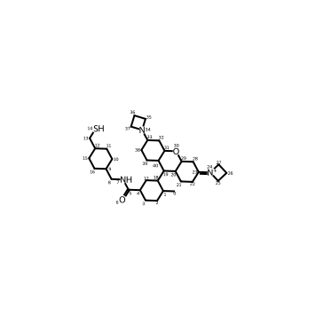 CC1CCC(C(=O)NCC2CCC(CS)CC2)CC1C1C2CCC(=[N+]3CCC3)CC2OC2CC(N3CCC3)CCC21